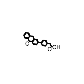 O=C(O)Cc1ccc(-c2ccc3c(c2)Cc2ccccc2C3=O)cc1